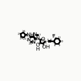 O[C@@H]1[C@H](O)[C@@H](C#CC2CCCCC2F)O[C@H]1n1cnc2c(NC3CCCC3)ncnc21